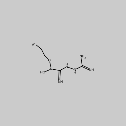 CC(C)CCON(O)C(=N)NNC(=N)N